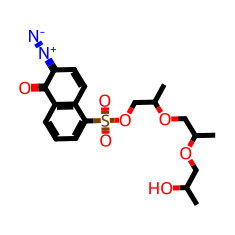 CC(O)COC(C)COC(C)COS(=O)(=O)c1cccc2c1C=CC(=[N+]=[N-])C2=O